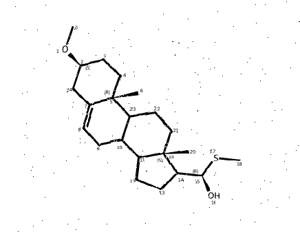 CO[C@H]1CC[C@@]2(C)C(=CCC3C4CCC([C@H](O)SC)[C@@]4(C)CCC32)C1